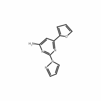 Nc1cc(-c2ccco2)nc(-n2cccn2)n1